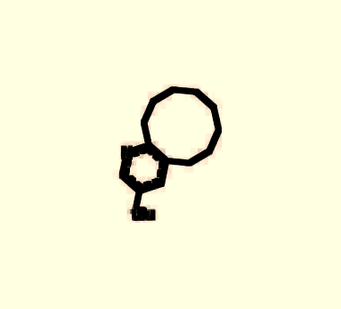 CC(C)(C)c1cnc2c(c1)CCCCCCCC2